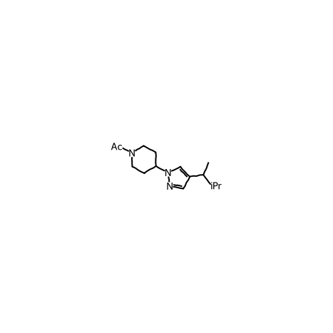 CC(=O)N1CCC(n2cc(C(C)C(C)C)cn2)CC1